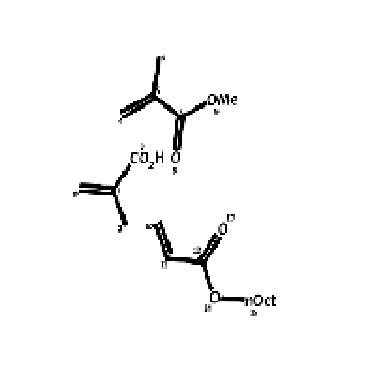 C=C(C)C(=O)O.C=C(C)C(=O)OC.C=CC(=O)OCCCCCCCC